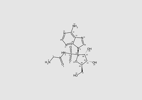 NCC(=O)NS(=O)(=O)[C@@]1(n2cnc3c(N)ncnc32)O[C@H](CO)[C@@H](O)[C@H]1O